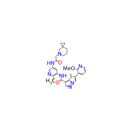 COc1ncccc1-c1cn2ncc(C(=O)Nc3cc(NC(=O)CN4CCCC5(CC5)C4)cnc3C)c2s1